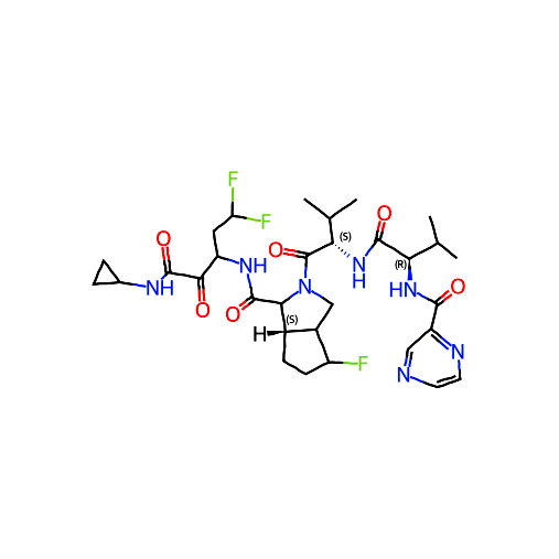 CC(C)[C@H](NC(=O)[C@H](NC(=O)c1cnccn1)C(C)C)C(=O)N1CC2C(F)CC[C@@H]2C1C(=O)NC(CC(F)F)C(=O)C(=O)NC1CC1